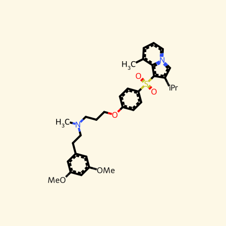 COc1cc(CCN(C)CCCOc2ccc(S(=O)(=O)c3c(C(C)C)cn4cccc(C)c34)cc2)cc(OC)c1